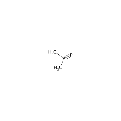 CP(C)#P